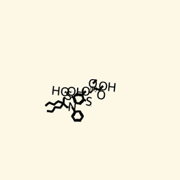 CCCCC1(CCCC)CN(c2ccccc2)c2cc(SC)c(OC[C@@H](OC)C(=O)O)cc2S(O)(O)C1